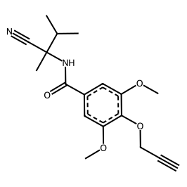 C#CCOc1c(OC)cc(C(=O)NC(C)(C#N)C(C)C)cc1OC